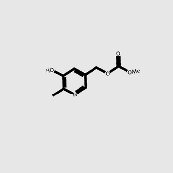 COC(=O)OCc1cnc(C)c(O)c1